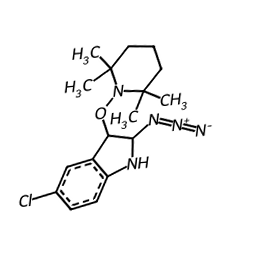 CC1(C)CCCC(C)(C)N1OC1c2cc(Cl)ccc2NC1N=[N+]=[N-]